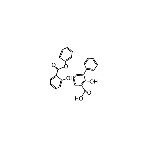 O=C(O)c1cccc(-c2ccccc2)c1O.O=C(Oc1ccccc1)c1ccccc1O